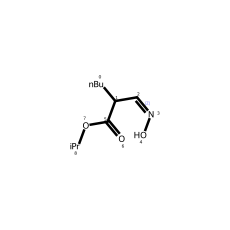 CCCCC(/C=N\O)C(=O)OC(C)C